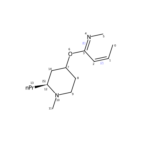 C/C=C\C(=N/C)OC1CCN(C)[C@@H](CCC)C1